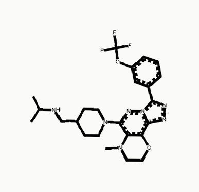 CC(C)NCC1CCN(c2nn3c(-c4cccc(OC(F)(F)F)c4)nnc3c3c2N(C)CCO3)CC1